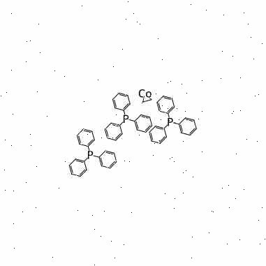 [CH2]1[CH2][Co]1.c1ccc(P(c2ccccc2)c2ccccc2)cc1.c1ccc(P(c2ccccc2)c2ccccc2)cc1.c1ccc(P(c2ccccc2)c2ccccc2)cc1